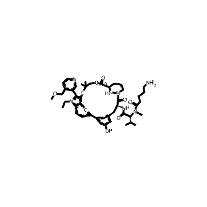 CCn1c(-c2cnccc2COC)c2c3cc(ccc31)-c1cc(O)cc(c1)C[C@H](NC(=O)[C@H](C(C)C)N(C)C(=O)CCCCN)C(=O)N1CCC[C@@](O)(N1)C(=O)OCC(C)(C)C2